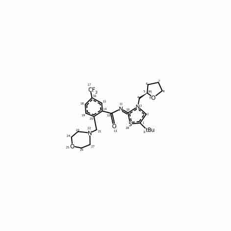 CC(C)(C)c1cn(C[C@H]2CCCO2)c(=NC(=O)c2cc(C(F)(F)F)ccc2CN2CCOCC2)s1